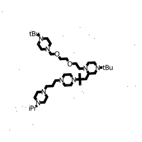 CC(C)N1CCN(CCCN2CCN(C(C)(C)CC3CN(C(C)(C)C)CCN3CCOCCOCN3CCN(C(C)(C)C)CC3)CC2)CC1